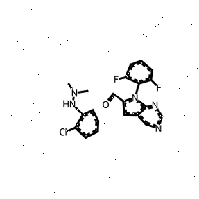 CN(C)Nc1ccccc1Cl.O=Cc1cc2cncnc2n1-c1c(F)cccc1F